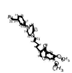 COc1cc2occ(CCCCN3CCN(c4cccc(CF)c4)CC3)c(=O)c2cc1OC